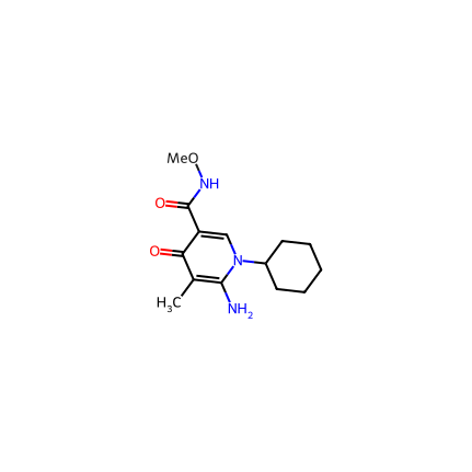 CONC(=O)c1cn(C2CCCCC2)c(N)c(C)c1=O